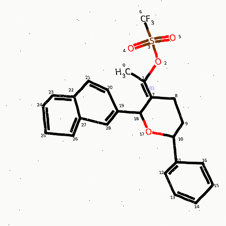 C/C(OS(=O)(=O)C(F)(F)F)=C1/CCC(c2ccccc2)OC1c1ccc2ccccc2c1